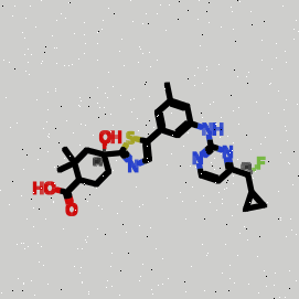 Cc1cc(Nc2nccc([C@H](F)C3CC3)n2)cc(-c2cnc([C@@]3(O)CCC(C(=O)O)C(C)(C)C3)s2)c1